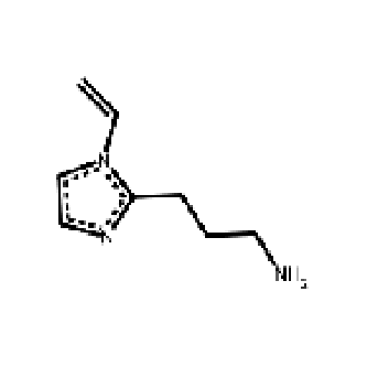 C=Cn1ccnc1CCCN